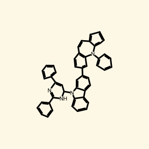 C1=Cc2ccc(-c3ccc4c5ccccc5n(C5C=C(c6ccccc6)N=C(c6ccccc6)N5)c4c3)cc2N(c2ccccc2)c2ccccc21